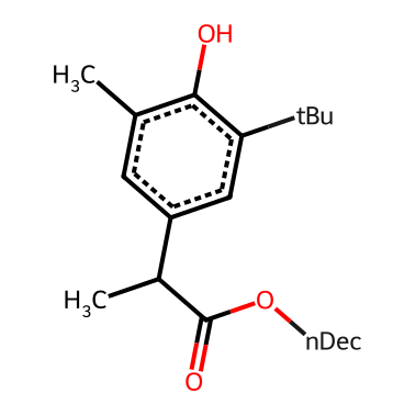 CCCCCCCCCCOC(=O)C(C)c1cc(C)c(O)c(C(C)(C)C)c1